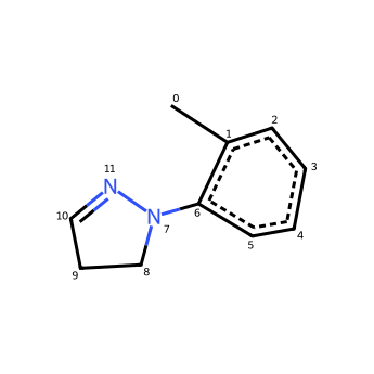 Cc1ccccc1N1CCC=N1